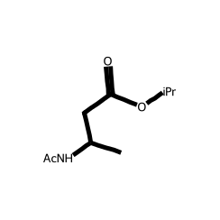 CC(=O)NC(C)CC(=O)OC(C)C